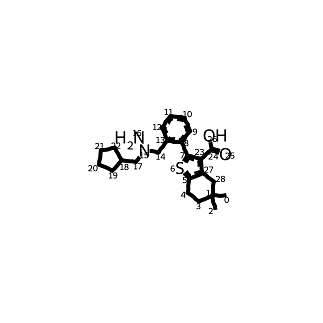 CC1(C)CCc2sc(-c3ccccc3CN(N)CC3CCCC3)c(C(=O)O)c2C1